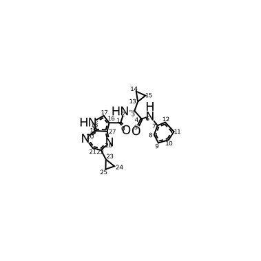 O=C(N[C@@H](C(=O)Nc1ccccc1)C1CC1)c1c[nH]c2ncc(C3CC3)nc12